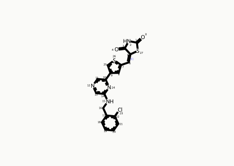 O=C1NC(=O)/C(=C\c2cc(-c3cncc(NCc4ccccc4Cl)n3)cs2)S1